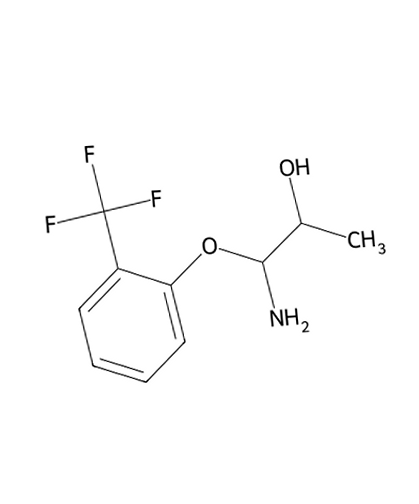 CC(O)C(N)Oc1ccccc1C(F)(F)F